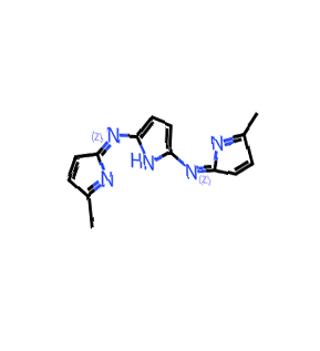 CC1=N/C(=N\c2ccc(/N=C3/C=CC(C)=N3)[nH]2)C=C1